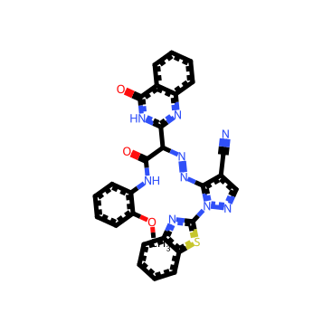 COc1ccccc1NC(=O)C(N=Nc1c(C#N)cnn1-c1nc2ccccc2s1)c1nc2ccccc2c(=O)[nH]1